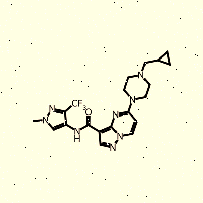 Cn1cc(NC(=O)c2cnn3ccc(N4CCN(CC5CC5)CC4)nc23)c(C(F)(F)F)n1